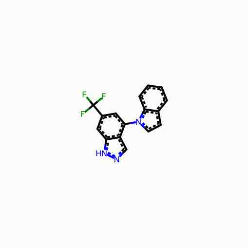 FC(F)(F)c1cc(-n2ccc3ccccc32)c2cn[nH]c2c1